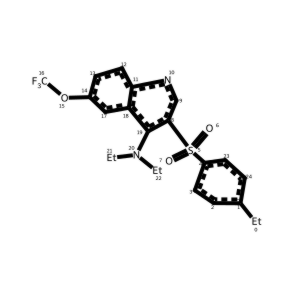 CCc1ccc(S(=O)(=O)c2cnc3ccc(OC(F)(F)F)cc3c2N(CC)CC)cc1